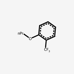 CCCOc1ccc[c]c1C(F)(F)F